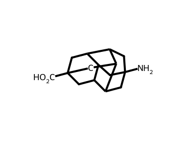 NC12CC3C4CC5(C(=O)O)CC3C(C1)C(C5)C4C2